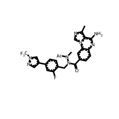 CC(=O)N(C)N(Cc1ccc(-c2cnn(C(F)(F)F)c2)cc1F)C(=O)c1ccc2nc(N)c3c(C)ncn3c2c1